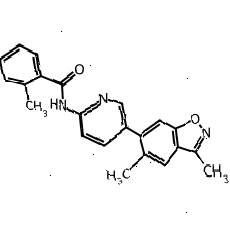 Cc1ccccc1C(=O)Nc1ccc(-c2cc3onc(C)c3cc2C)cn1